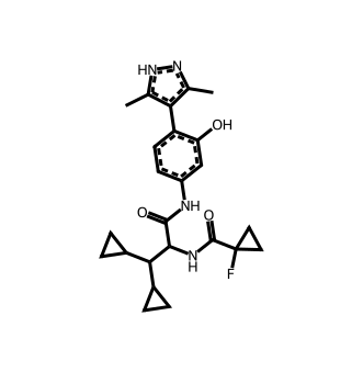 Cc1n[nH]c(C)c1-c1ccc(NC(=O)C(NC(=O)C2(F)CC2)C(C2CC2)C2CC2)cc1O